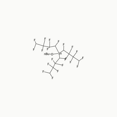 CCCC[O][Sn]([CH](F)C(F)(F)C(F)(F)C(F)F)([CH](F)C(F)(F)C(F)(F)C(F)F)[CH](F)C(F)(F)C(F)(F)C(F)F